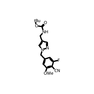 COc1cc(Cn2cc(CNC(=O)OC(C)(C)C)cn2)cc(F)c1C#N